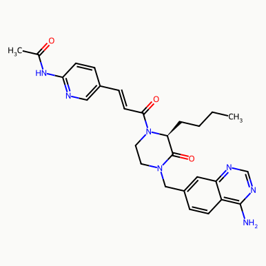 CCCC[C@H]1C(=O)N(Cc2ccc3c(N)ncnc3c2)CCN1C(=O)C=Cc1ccc(NC(C)=O)nc1